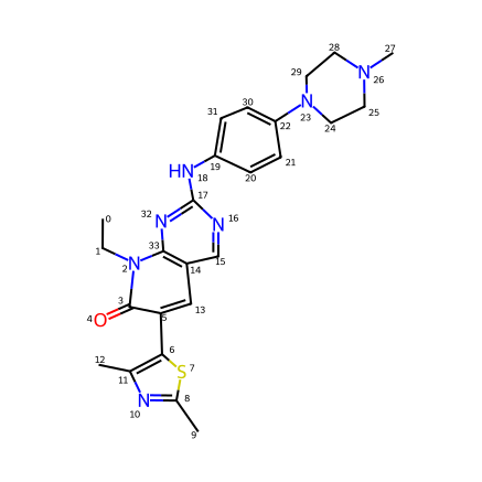 CCn1c(=O)c(-c2sc(C)nc2C)cc2cnc(Nc3ccc(N4CCN(C)CC4)cc3)nc21